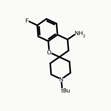 CC(C)(C)N1CCC2(CC1)CC(N)c1ccc(F)cc1O2